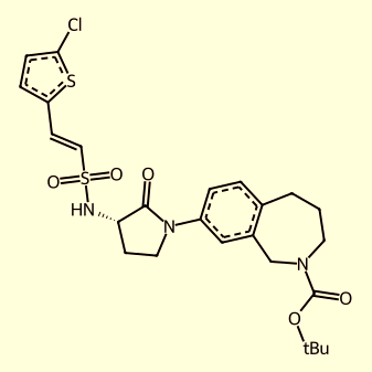 CC(C)(C)OC(=O)N1CCCc2ccc(N3CC[C@H](NS(=O)(=O)/C=C/c4ccc(Cl)s4)C3=O)cc2C1